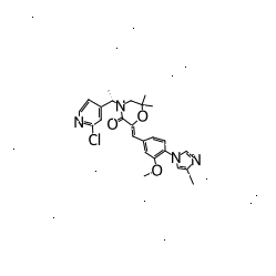 COc1cc(C=C2OC(C)(C)CN([C@@H](C)c3ccnc(Cl)c3)C2=O)ccc1-n1cnc(C)c1